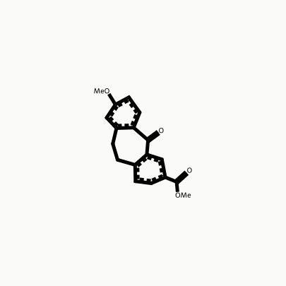 COC(=O)c1ccc2c(c1)C(=O)c1ccc(OC)cc1CC2